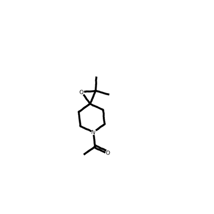 CC(=O)N1CCC2(CC1)OC2(C)C